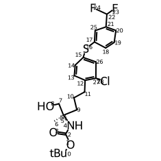 CC(C)(C)OC(=O)N[C@@](C)(CO)CCCc1ccc(Sc2cccc(C(F)F)c2)cc1Cl